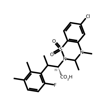 Cc1ccc(F)c(C(C)[C@@H](C(=O)O)N2C(C)N(C)c3cc(Cl)ccc3S2(=O)=O)c1C